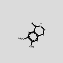 COc1cc2c(cc1O)CC[N]C2C